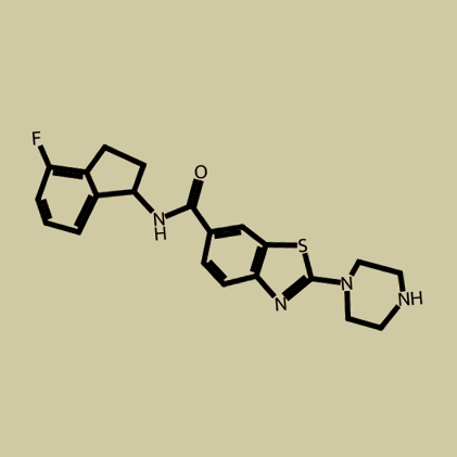 O=C(NC1CCc2c(F)cccc21)c1ccc2nc(N3CCNCC3)sc2c1